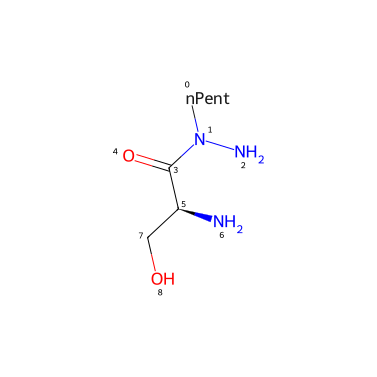 CCCCCN(N)C(=O)[C@@H](N)CO